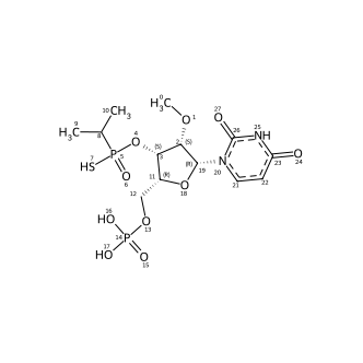 CO[C@H]1[C@@H](OP(=O)(S)C(C)C)[C@@H](COP(=O)(O)O)O[C@H]1n1ccc(=O)[nH]c1=O